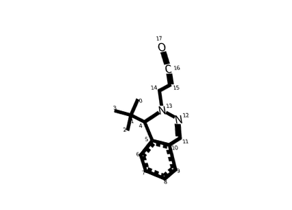 CC(C)(C)C1c2ccccc2C=NN1CC=C=O